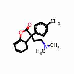 Cc1ccc(C2(CCN(C)C)C(=O)OC3=CC=CCC32)cc1